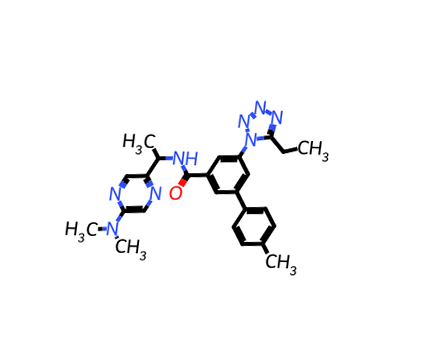 CCc1nnnn1-c1cc(C(=O)NC(C)c2cnc(N(C)C)cn2)cc(-c2ccc(C)cc2)c1